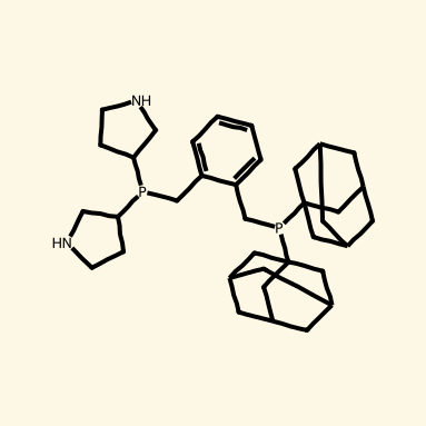 c1ccc(CP(C23CC4CC(CC(C4)C2)C3)C23CC4CC(CC(C4)C2)C3)c(CP(C2CCNC2)C2CCNC2)c1